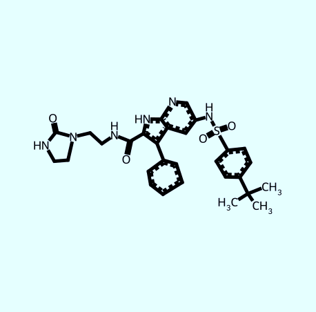 CC(C)(C)c1ccc(S(=O)(=O)Nc2cnc3[nH]c(C(=O)NCCN4CCNC4=O)c(-c4ccccc4)c3c2)cc1